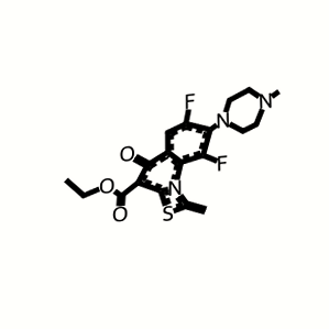 C=c1sc2c(C(=O)OCC)c(=O)c3cc(F)c(N4CCN(C)CC4)c(F)c3n12